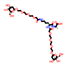 C[C@H](NC(=O)[C@H](CCCCNC(=O)COCCOCCOCCO[C@H]1C[C@@H](O)[C@@H](O)[C@@H](CO)O1)NC(=O)COCCOCCOCCO[C@H]1C[C@@H](O)[C@@H](O)[C@@H](CO)O1)C(=O)O